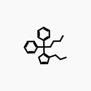 CCCCC(C1=C(CCC)C=CC1)(c1ccccc1)c1ccccc1